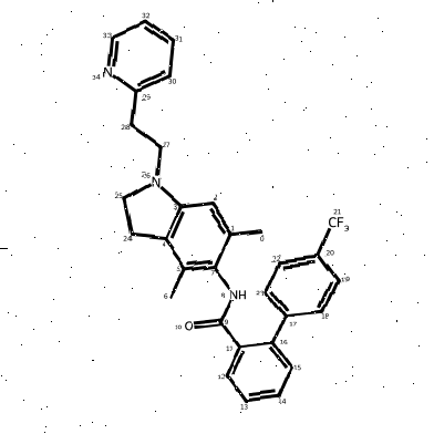 Cc1cc2c(c(C)c1NC(=O)c1ccccc1-c1ccc(C(F)(F)F)cc1)CCN2CCc1ccccn1